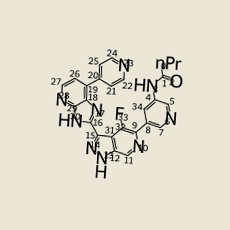 CCCC(=O)Nc1cncc(-c2ncc3[nH]nc(-c4nc5c(-c6ccncc6)ccnc5[nH]4)c3c2F)c1